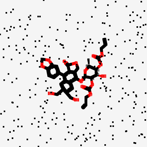 C=CCOC(=O)O[C@H]1[C@H](O)[C@@H](OC(=O)OCC=C)C(Oc2c3c(c(-c4ccc5c(c4)OCO5)c4cc(CO)c(CO)cc24)C(=O)OC3)O[C@@H]1C